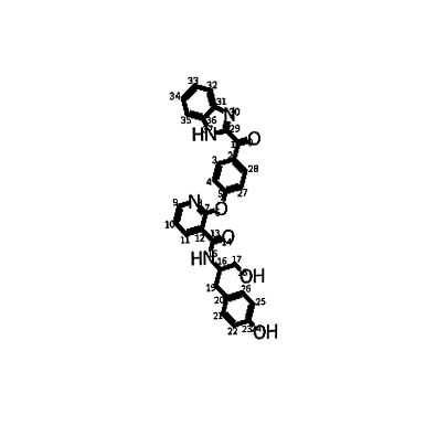 O=C(c1ccc(Oc2ncccc2C(=O)NC(CO)Cc2ccc(O)cc2)cc1)c1nc2ccccc2[nH]1